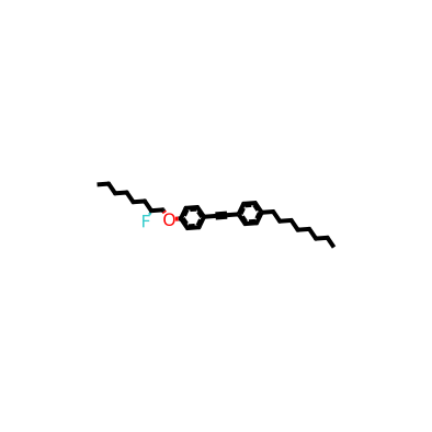 CCCCCCCCc1ccc(C#Cc2ccc(OC[C@@H](F)CCCCCC)cc2)cc1